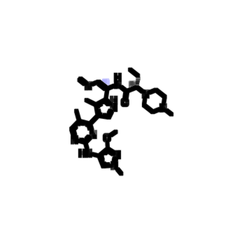 C=N/C=C(/NC(=O)[C@H](CC)N1CCN(C)CC1)c1[nH]cc(-c2nc(Nc3cn(C)nc3OC)ncc2C)c1C